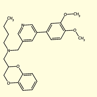 CCCCN(Cc1cncc(-c2ccc(OC)c(OC)c2)c1)CC1COc2ccccc2O1